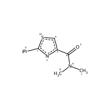 CC(C)c1nc(C(=O)N(C)C)cs1